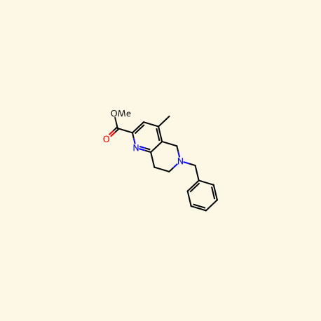 COC(=O)c1cc(C)c2c(n1)CCN(Cc1ccccc1)C2